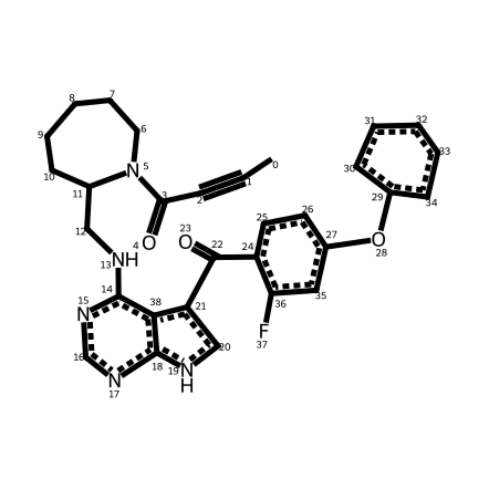 CC#CC(=O)N1CCCCCC1CNc1ncnc2[nH]cc(C(=O)c3ccc(Oc4ccccc4)cc3F)c12